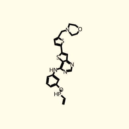 C=CPOc1cccc(Nc2ncnc3cc(-c4ccc(CN5CCOCC5)s4)sc23)c1